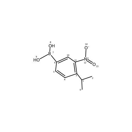 CC(C)c1ccc(B(O)O)cc1[N+](=O)[O-]